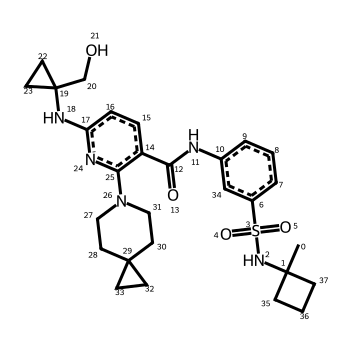 CC1(NS(=O)(=O)c2cccc(NC(=O)c3ccc(NC4(CO)CC4)nc3N3CCC4(CC3)CC4)c2)CCC1